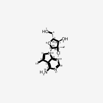 C[C@@]1(Cl)[C@H](O)[C@@H](CO)O[C@H]1n1cc(I)c2c(N)ncnc21